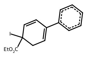 CCOC(=O)C1(I)C=CC(c2ccccc2)=CC1